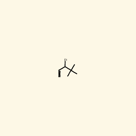 C=CC(CC)C(C)(C)C